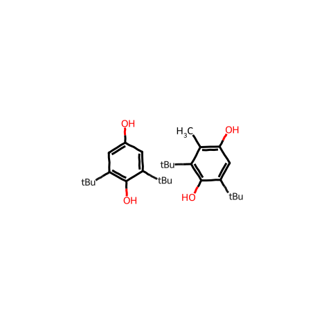 CC(C)(C)c1cc(O)cc(C(C)(C)C)c1O.Cc1c(O)cc(C(C)(C)C)c(O)c1C(C)(C)C